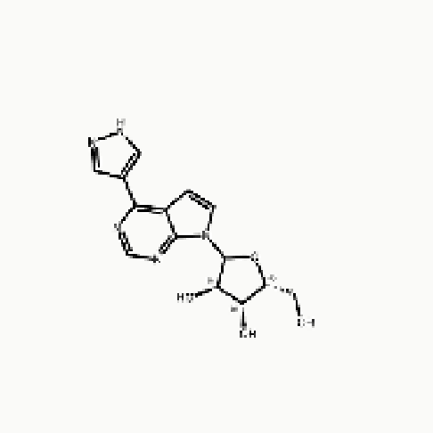 OC[C@H]1OC(n2ccc3c(-c4cn[nH]c4)ncnc32)[C@H](O)[C@@H]1O